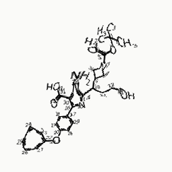 CC(C)(C)OC(=O)N1CC(C(CCO)c2nc(-c3ccc(Oc4ccccc4)cc3)c(C(=O)O)n2N)C1